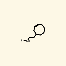 CCNCCC1C/C=C\CCCC1